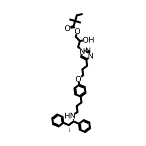 CCC(C)(C)C(=O)OCC(O)Cn1cc(CCCOc2ccc(CCCN[C@H](c3ccccc3)[C@H](C)c3ccccc3)cc2)nn1